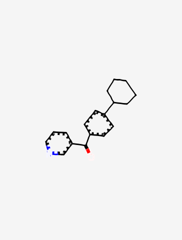 O=C(c1ccc(C2CCCCC2)cc1)c1cccnc1